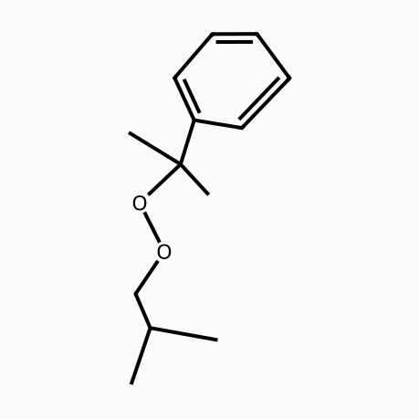 CC(C)COOC(C)(C)c1ccccc1